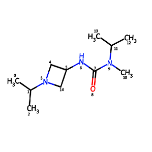 CC(C)N1CC(NC(=O)N(C)C(C)C)C1